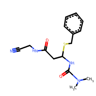 CN(C)C(=O)NC(CC(=O)NCC#N)SCc1ccccc1